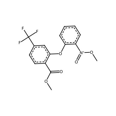 COC(=O)c1ccc(C(F)(F)F)cc1Oc1ccccc1[N+](=O)OC